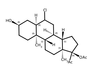 CC(=O)O[C@]1(C(C)=O)CC[C@H]2[C@@H]3CC(Cl)[C@@H]4C[C@H](O)CC[C@]4(C)[C@H]3CC[C@@]21C